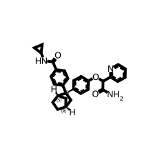 NC(=O)C(Oc1ccc([C@@]2(c3ccc(C(=O)NC4CC4)cc3)C[C@@H]3CC[C@H]2C3)cc1)c1ccccn1